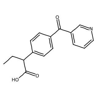 CCC(C(=O)O)c1ccc(C(=O)c2cccnc2)cc1